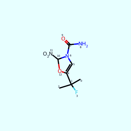 CC(C)(F)C1=CN(C(N)=O)C([N+](=O)[O-])O1